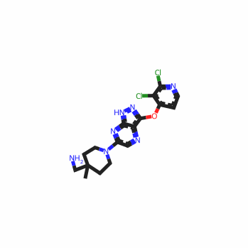 CC1(CN)CCN(c2cnc3c(Oc4ccnc(Cl)c4Cl)n[nH]c3n2)CC1